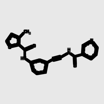 Cc1ccoc1C(=O)Nc1cccc(C#CNC(=O)c2cccnc2)c1